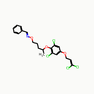 CC(CCCON=Cc1ccccc1)Oc1c(Cl)cc(OCC=C(Cl)Cl)cc1Cl